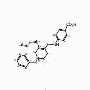 C=N/C=N\C1=C(CNc2ccc(C(=O)O)cn2)CCN(Cc2ccccc2)C1